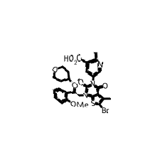 COc1ccccc1[C@H](Cn1c(=O)n(-c2cnc(C)c(C(=O)O)c2)c(=O)c2c(C)c(Br)sc21)OC1CCOCC1